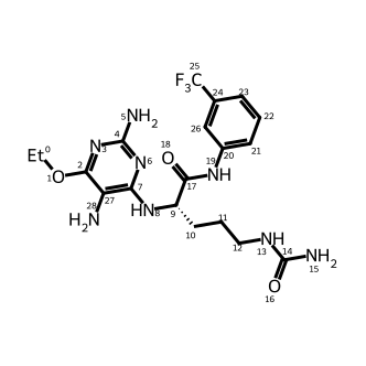 CCOc1nc(N)nc(N[C@@H](CCCNC(N)=O)C(=O)Nc2cccc(C(F)(F)F)c2)c1N